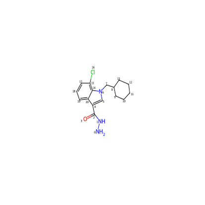 NNC(=O)c1cn(CC2CCCCC2)c2c(Cl)cccc12